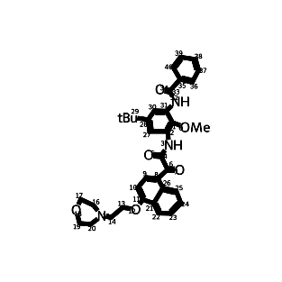 COc1c(NC(=O)C(=O)c2ccc(OCCN3CCOCC3)c3ccccc23)cc(C(C)(C)C)cc1NC(=O)c1ccccc1